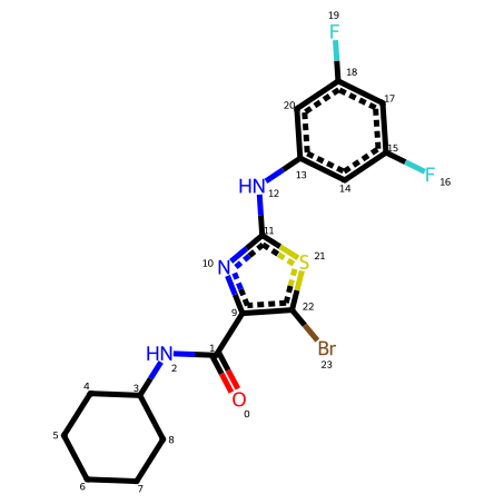 O=C(NC1CCCCC1)c1nc(Nc2cc(F)cc(F)c2)sc1Br